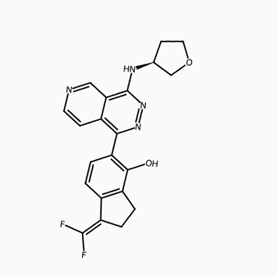 Oc1c(-c2nnc(N[C@H]3CCOC3)c3cnccc23)ccc2c1CCC2=C(F)F